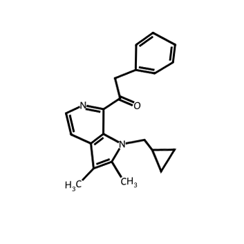 Cc1c(C)n(CC2CC2)c2c(C(=O)Cc3ccccc3)nccc12